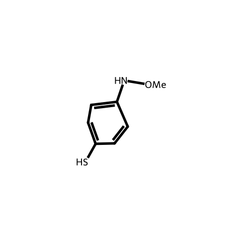 CONc1ccc(S)cc1